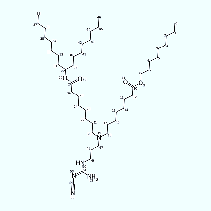 CCCCCCCCCOC(=O)CCCCCCCN(CCCCCCCC(=O)OC(CCCCCCCC)CCCCCCCC)CCCN/C(N)=N/C#N